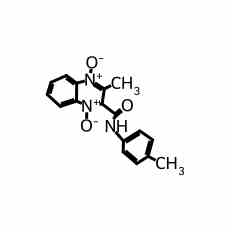 Cc1ccc(NC(=O)c2c(C)[n+]([O-])c3ccccc3[n+]2[O-])cc1